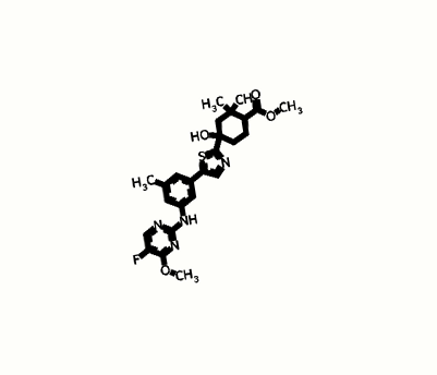 COC(=O)C1CCC(O)(c2ncc(-c3cc(C)cc(Nc4ncc(F)c(OC)n4)c3)s2)CC1(C)C